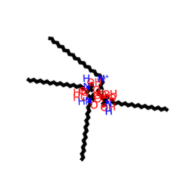 CCCCCCCCCCCCCCCCCCCC[N+](C)(C)CCC[Si](OCC(CO)(CO)NC(=O)CCCCCCCCCCCCCCCCC)(OCC(CO)(CO)NC(=O)CCCCCCCCCCCCCCCCC)OCC(CO)(CO)NC(=O)CCCCCCCCCCCCCCCCC